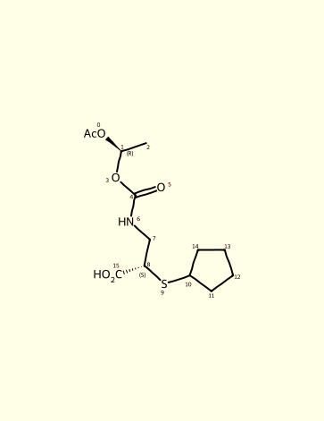 CC(=O)O[C@@H](C)OC(=O)NC[C@H](SC1CCCC1)C(=O)O